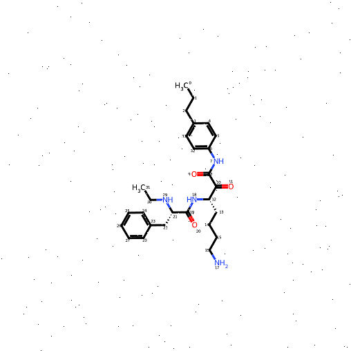 CCCc1ccc(NC(=O)C(=O)[C@H](CCCCN)NC(=O)[C@H](Cc2ccccc2)NCC)cc1